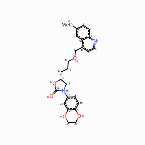 COc1ccc2nccc(COCCC[C@@H]3CN(c4ccc5c(c4)OCCO5)C(=O)O3)c2c1